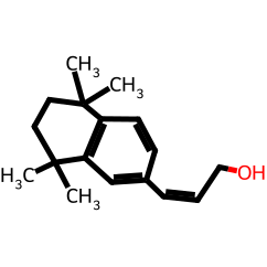 CC1(C)CCC(C)(C)c2cc(/C=C\CO)ccc21